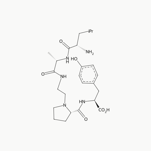 CC(C)C[C@H](N)C(=O)N[C@@H](C)C(=O)NCCN1CCC[C@H]1C(=O)N[C@@H](Cc1ccc(O)cc1)C(=O)O